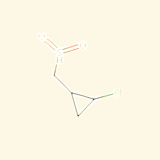 O=[SH](=O)CC1CC1Cl